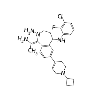 C/C(N)=C1\c2ccc(C3=CCN(C4CCC4)CC3)cc2C(Nc2cccc(Cl)c2F)CCN1N